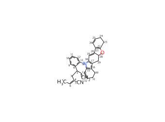 C=CC(C/C(C#N)=C\C)c1ccccc1-n1c2c(c3c1C=C1C4=C(CCC=C4)OC1C3)CCC=C2